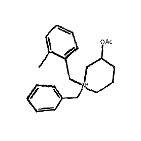 CC(=O)OC1CCC[N+](Cc2ccccc2)(Cc2ccccc2C)C1